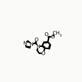 COC(=O)c1ccc2c(c1)N(C(=O)n1ccnc1)CCO2